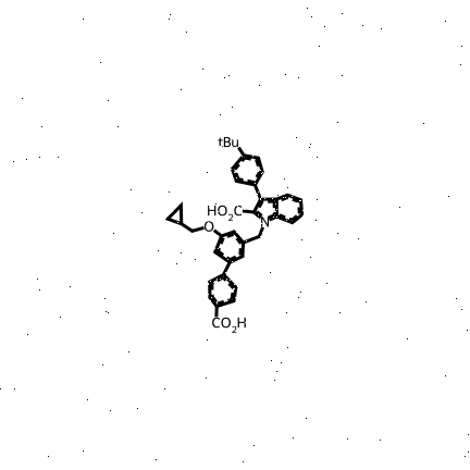 CC(C)(C)c1ccc(-c2c(C(=O)O)n(Cc3cc(OCC4CC4)cc(-c4ccc(C(=O)O)cc4)c3)c3ccccc23)cc1